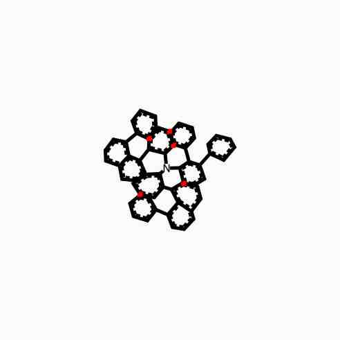 c1ccc(-c2cccc(N(c3ccccc3-c3cccc4cccc(-c5ccccc5)c34)c3ccccc3-c3cccc4cccc(-c5ccccc5)c34)c2-c2ccccc2)cc1